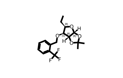 CC[C@H]1O[C@@H]2OC(C)(C)O[C@@H]2[C@H]1OCc1ccccc1C(F)(F)F